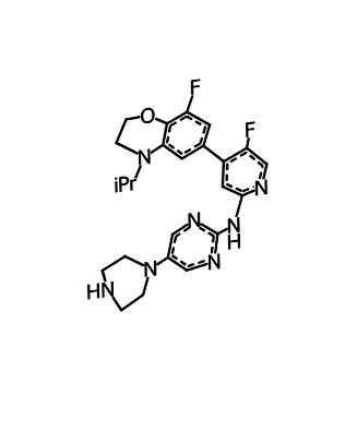 CC(C)N1CCOc2c(F)cc(-c3cc(Nc4ncc(N5CCNCC5)cn4)ncc3F)cc21